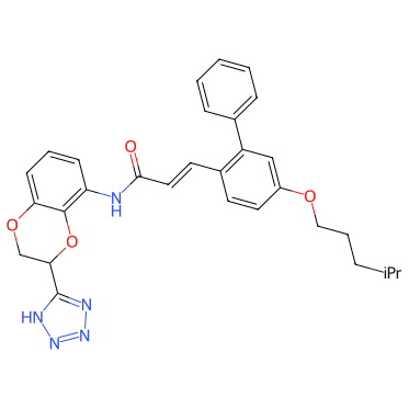 CC(C)CCCOc1ccc(C=CC(=O)Nc2cccc3c2OC(c2nnn[nH]2)CO3)c(-c2ccccc2)c1